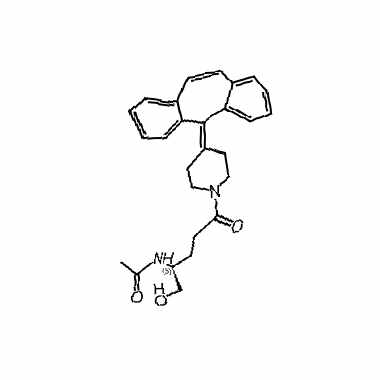 CC(=O)N[C@H](CO)CCC(=O)N1CCC(=C2c3ccccc3C=Cc3ccccc32)CC1